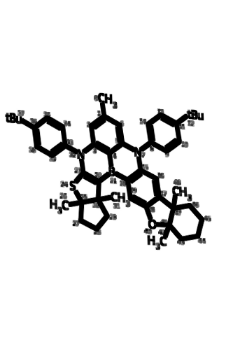 Cc1cc2c3c(c1)N(c1ccc(C(C)(C)C)cc1)c1cc4c(cc1B3C1=C(SC3(C)CCCC13C)N2c1ccc(C(C)(C)C)cc1)OC1(C)CCCCC41C